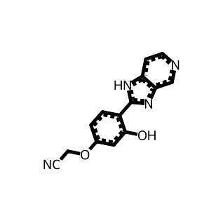 N#CCOc1ccc(-c2nc3cnccc3[nH]2)c(O)c1